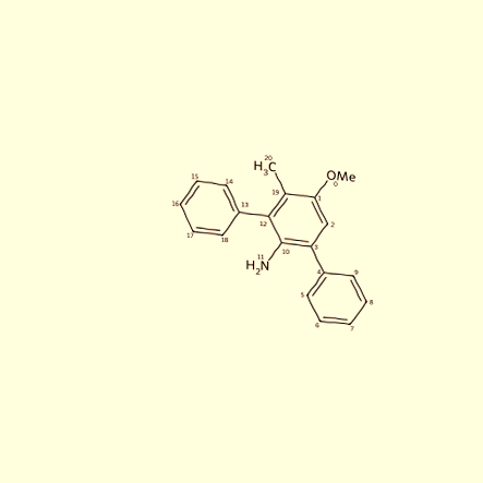 COc1cc(-c2ccccc2)c(N)c(-c2ccccc2)c1C